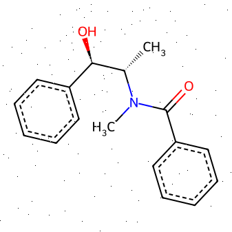 C[C@@H]([C@H](O)c1ccccc1)N(C)C(=O)c1ccccc1